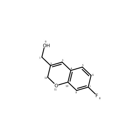 OCC1=Cc2ccc(F)cc2OC1